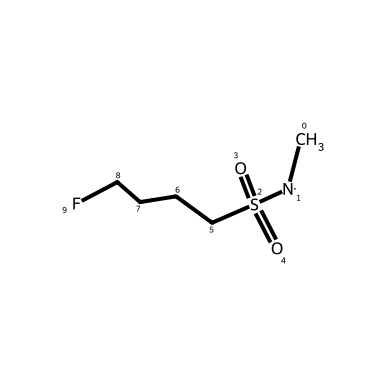 C[N]S(=O)(=O)CCCCF